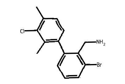 Cc1ccc(-c2cc[c]c(Br)c2CN)c(C)c1Cl